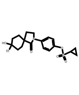 CCC1(O)CCC2(CCN(c3ccc(OS(=O)(=O)C4CC4)cc3)C2=O)CC1